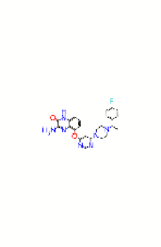 C[C@H](c1ccc(F)cc1)N1CCN(c2cc(Oc3cccc4[nH]c(=O)c(N)nc34)ncn2)CC1